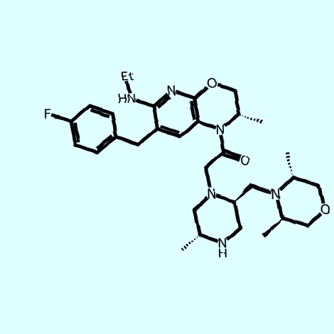 CCNc1nc2c(cc1Cc1ccc(F)cc1)N(C(=O)CN1C[C@@H](C)NC[C@@H]1CN1[C@H](C)COC[C@H]1C)[C@@H](C)CO2